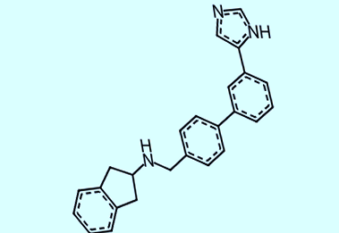 c1cc(-c2ccc(CNC3Cc4ccccc4C3)cc2)cc(-c2cnc[nH]2)c1